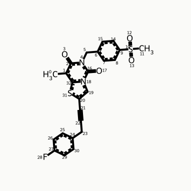 Cc1c(=O)n(Cc2ccc(S(C)(=O)=O)cc2)c(=O)n2cc(C#CCc3ccc(F)cc3)sc12